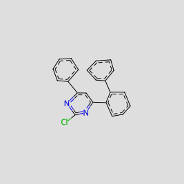 Clc1nc(-c2ccccc2)cc(-c2ccccc2-c2ccccc2)n1